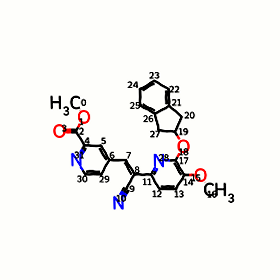 COC(=O)c1cc(C=C(C#N)c2ccc(OC)c(OC3Cc4ccccc4C3)n2)ccn1